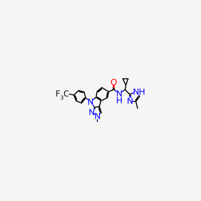 Cc1c[nH]c(C(NC(=O)c2ccc3c(c2)c2cn(C)nc2n3-c2ccc(C(F)(F)F)cc2)C2CC2)n1